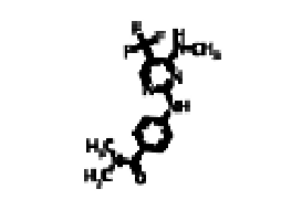 CNc1nc(Nc2ccc(C(=O)N(C)C)cc2)ncc1C(F)(F)F